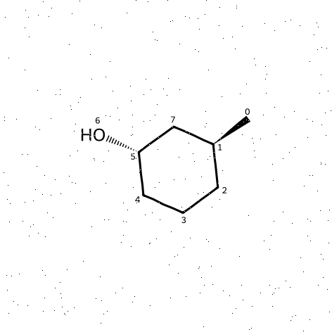 C[C@H]1CCC[C@H](O)C1